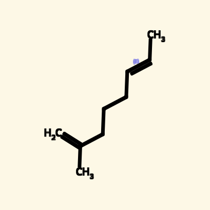 C=C(C)CCC/C=C/C